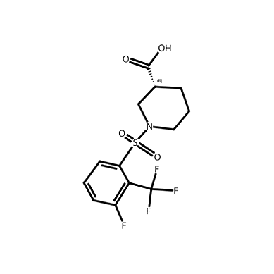 O=C(O)[C@@H]1CCCN(S(=O)(=O)c2cccc(F)c2C(F)(F)F)C1